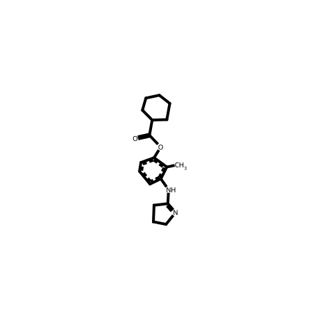 Cc1c(NC2=NCCC2)cccc1OC(=O)C1CCCCC1